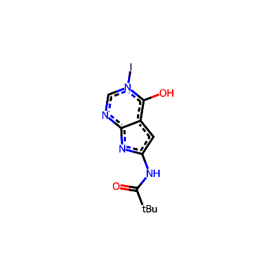 CC(C)(C)C(=O)Nc1cc2c(O)n(I)cnc-2n1